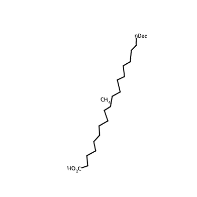 C.CCCCCCCCCCCCCCCCCCCCCCCCCCCC(=O)O